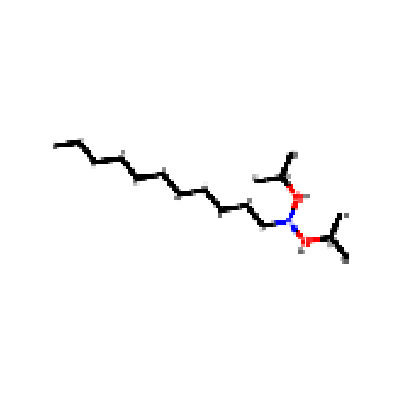 CCCCCCCCCCCN(OC(C)C)OC(C)C